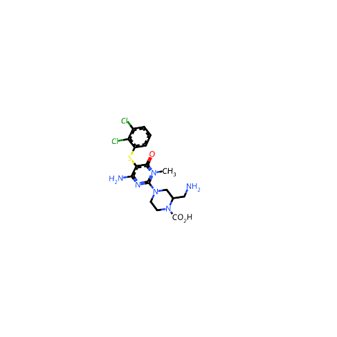 Cn1c(N2CCN(C(=O)O)C(CN)C2)nc(N)c(Sc2cccc(Cl)c2Cl)c1=O